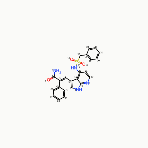 NC(=O)/C(=C/c1c[nH]c2nccc(NS(=O)(=O)Cc3ccccc3)c12)c1ccccc1